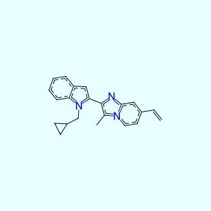 C=Cc1ccn2c(C)c(-c3cc4ccccc4n3CC3CC3)nc2c1